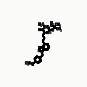 CNC(=O)C(CCCc1cccc2c1nnn2Cc1ccc(OC)cc1)NC(=O)OC(C)(C)C